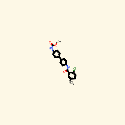 CC(C)(C)OC(=O)Nc1ccc(-c2ccc(NC(=O)c3cc([N+](=O)[O-])ccc3Cl)cc2)cc1